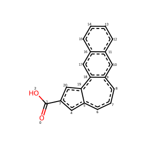 O=C(O)c1cc2cccc3cc4ccccc4cc3c-2c1